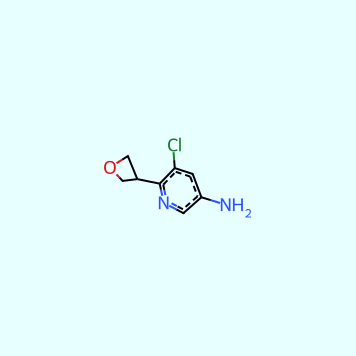 Nc1cnc(C2COC2)c(Cl)c1